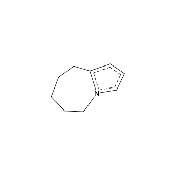 c1cc2n(c1)CCCCC2